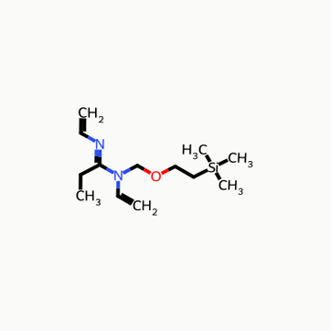 C=C/N=C(\CC)N(C=C)COCC[Si](C)(C)C